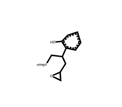 CCCCCCCCC(CC1CO1)c1ccccc1O